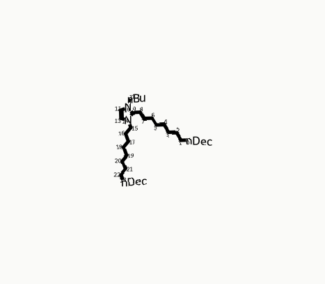 CCCCCCCCCCCCCCCCCCC1N(CCCC)C=CN1CCCCCCCCCCCCCCCCCC